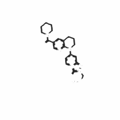 COCn1nc2cc(N3CCCc4cc(C(=O)N5CCCCC5)cnc43)ccn2c1=O